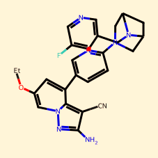 CCOc1cc(-c2ccc(N3CC4CC(C3)N4Cc3cncc(F)c3)nc2)c2c(C#N)c(N)nn2c1